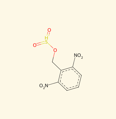 O=[N+]([O-])c1cccc([N+](=O)[O-])c1CO[SH](=O)=O